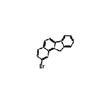 Brc1ccc2ccc3c(c2c1)Cc1ccccc1-3